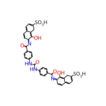 O=C(Nc1ccc(C(=O)N=C2C=CC3=CC=C(S(=O)(=O)O)CC3=C2O)cc1)Nc1ccc(C(=O)N=C2C=CC3=CC=C(S(=O)(=O)O)CC3=C2O)cc1